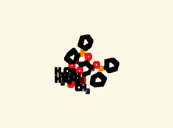 COC(C)(C)OCC[C@@H](OP(c1ccccc1)c1ccccc1)[C@H](OP(c1ccccc1)c1ccccc1)[C@H]1COC(C)(C)O1